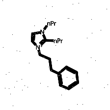 CCCc1n(CCC)cc[n+]1CCCc1ccccc1